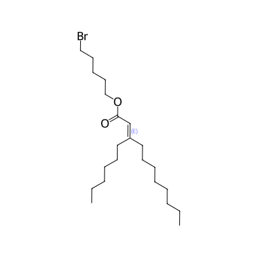 CCCCCCCC/C(=C/C(=O)OCCCCCBr)CCCCCC